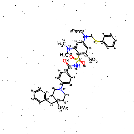 CCCCCN(CSc1ccccc1)c1cc(N(C)C)c(S(=O)(=O)NC(=O)c2ccc(N3CCC(Cc4ccccc4)(OC)CC3)cc2)c([N+](=O)[O-])c1